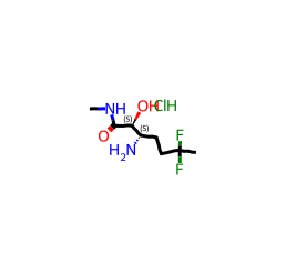 CNC(=O)[C@@H](O)[C@@H](N)CCC(C)(F)F.Cl